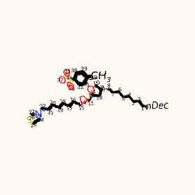 CCCCCCCCCCCCCCCCCC[C@H]1CO[C@H](COCCCCCCCC[n+]2ccsc2)C1.Cc1ccc(S(=O)(=O)[O-])cc1